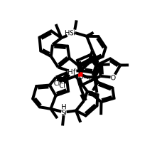 Cc1ccc(C2=[C]3C4=CC=CC(C)(C4=C2)[SiH](C)C2(C)C=CC=C4C2=CC(c2ccc(C)o2)=[C]4[Hf]32([Cl])([Cl])[C]3=C(c4ccc(C)o4)C=C4C3=CC=CC4(C)[SiH](C)C3(C)C=CC=C4C3=CC(c3ccc(C)o3)=[C]42)o1